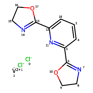 [Cl-].[Cl-].[V+2].c1cc(C2=NCCO2)nc(C2=NCCO2)c1